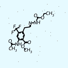 CCOC(=O)NN=CCc1cc(C(=O)OC)c(NC(C)=O)cc1C(F)(F)F